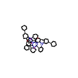 c1ccc(-c2ccc3c4ccc(-c5ccccc5)cc4n(-c4ccccc4-c4nc(-c5ccccc5)nc(-c5ccccc5-n5c6cc(-c7ccccc7)ccc6c6ccc(-c7ccccc7)cc65)n4)c3c2)cc1